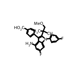 COCC(C)(C)c1c(-c2ccc(C(=O)O)cc2)c2c(N)cc(F)cc2n1-c1ccc(F)cc1